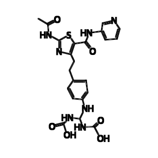 CC(=O)Nc1nc(CCc2ccc(NC(NC(=O)O)NC(=O)O)cc2)c(C(=O)Nc2cccnc2)s1